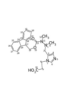 CN(Cc1cncn1CCC(=O)O)N(C)C(=O)OCC1c2ccccc2-c2ccccc21